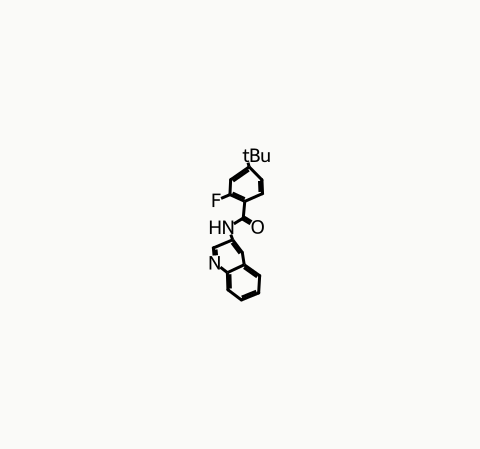 CC(C)(C)c1ccc(C(=O)Nc2cnc3ccccc3c2)c(F)c1